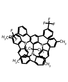 Cc1ccc2c(c1)c1cc(C)ccc1n2-c1c(-c2cccc(C(F)(F)F)c2)cc(-c2cccc(C(F)(F)F)c2)c(-n2c3ccc(C)cc3c3cc(C)ccc32)c1C(C)(C)n1c2ccccc2c2ccccc21